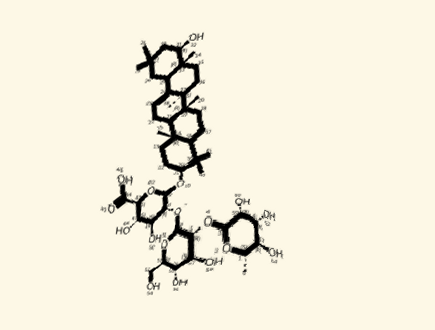 C[C@@H]1OC(O[C@H]2C(O[C@H]3C(O[C@H]4CC[C@@]5(C)C(CC[C@]6(C)C5CC=C5C7CC(C)(C)C[C@@H](O)[C@]7(C)CC[C@]56C)C4(C)C)O[C@H](C(=O)O)[C@@H](O)[C@@H]3O)O[C@H](CO)[C@@H](O)[C@@H]2O)[C@H](O)[C@H](O)[C@H]1O